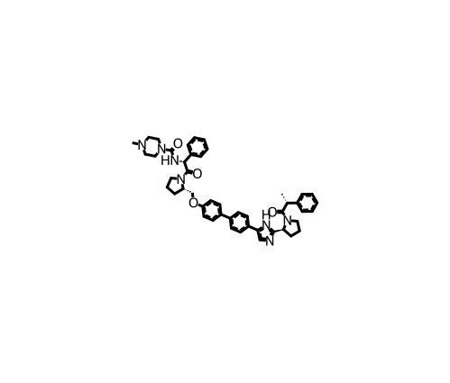 C[C@@H](C(=O)N1CCC[C@H]1c1ncc(-c2ccc(-c3ccc(OC[C@@H]4CCCN4C(=O)[C@H](NC(=O)N4CCN(C)CC4)c4ccccc4)cc3)cc2)[nH]1)c1ccccc1